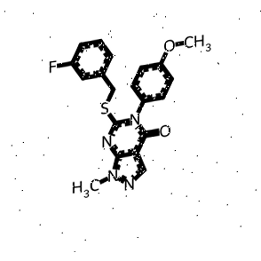 COc1ccc(-n2c(SCc3cccc(F)c3)nc3c(cnn3C)c2=O)cc1